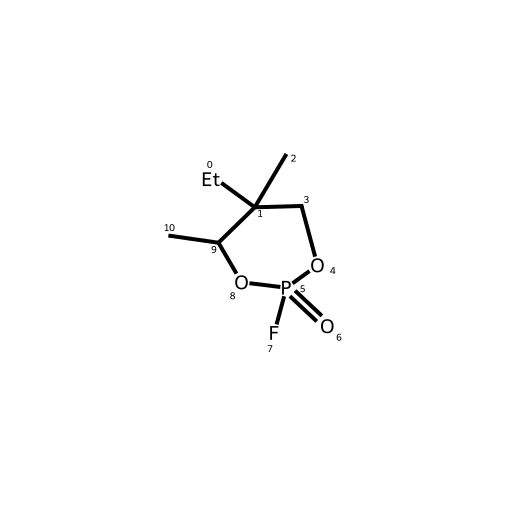 CCC1(C)COP(=O)(F)OC1C